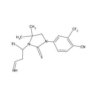 CCC(CC=N)N1C(=S)N(c2ccc(C#N)c(C(F)(F)F)c2)CC1(C)C